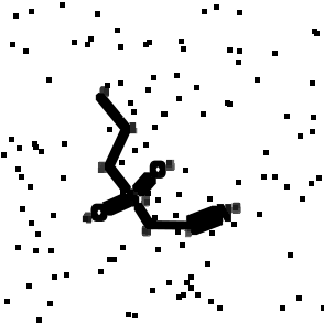 CCCS(=O)(=O)CC#N